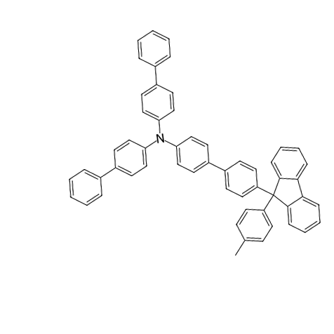 Cc1ccc(C2(c3ccc(-c4ccc(N(c5ccc(-c6ccccc6)cc5)c5ccc(-c6ccccc6)cc5)cc4)cc3)c3ccccc3-c3ccccc32)cc1